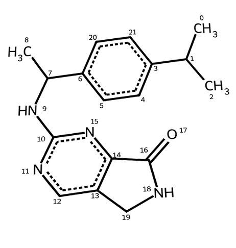 CC(C)c1ccc(C(C)Nc2ncc3c(n2)C(=O)NC3)cc1